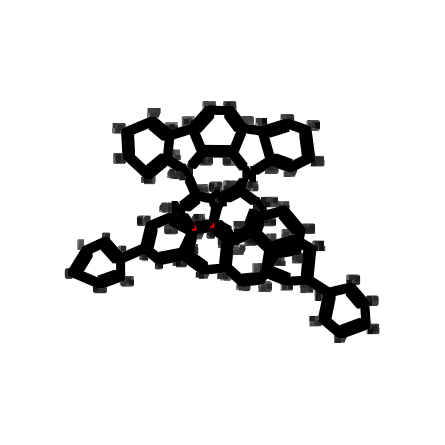 c1ccc(-c2ccc(-c3nc(-c4ccc(-c5ccccc5)cc4)nc(-n4c5ccccc5c5ccc6c7ccccc7n(-c7nc8ccc9ccc%10ccccc%10c9c8o7)c6c54)n3)cc2)cc1